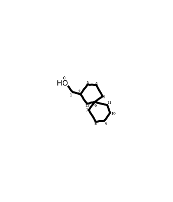 OCC1CCCC2(CCCCC2)C1